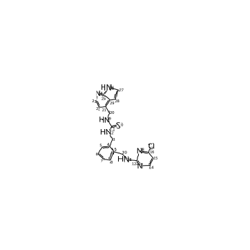 S=C(NCc1ccccc1CNc1nccc(Cl)n1)NCc1ccnc2[nH]ccc12